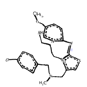 COc1ccc(/N=c2/scc(CN(C)Cc3ccc(Cl)cc3)n2CCCN)nc1